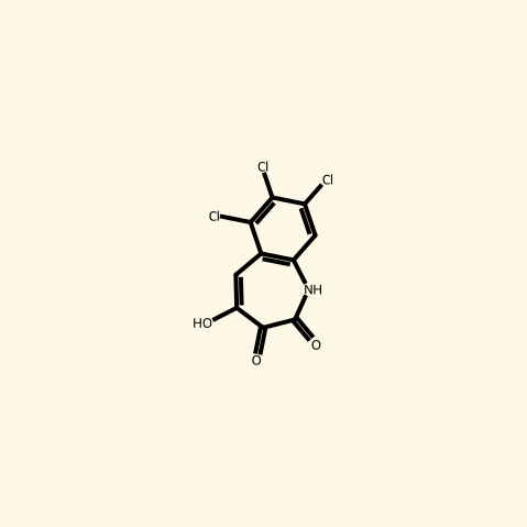 O=c1[nH]c2cc(Cl)c(Cl)c(Cl)c2cc(O)c1=O